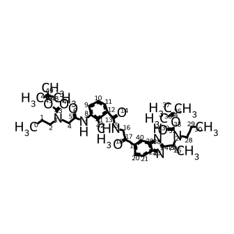 CCCN(CC(=O)Nc1cccc(C(=O)NCC(=O)c2ccc3nc([C@H](C)N(CCC)C(=O)OC(C)(C)C)[nH]c3c2)c1C)C(=O)OC(C)(C)C